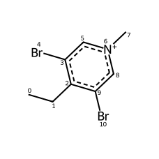 CCc1c(Br)c[n+](C)cc1Br